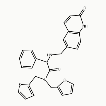 O=C(C(NCc1ccc2[nH]c(=O)ccc2c1)c1ccccc1)N(Cc1ccco1)Cc1cccs1